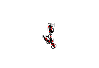 CNCc1ccc(-c2cc(-c3nc(-c4ccc(S(=O)(=O)C(C)C)cc4)cnc3NCCCCCO[C@H]3CC[C@H]4[C@@H]5CC[C@H]6CC(O)CC[C@]6(C)[C@H]5CC[C@]34C)on2)cc1